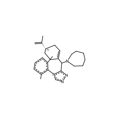 C=C(C)[C@@H]1CC=C(C(c2nncn2-c2c(C)cccc2C)N2CCCCCC2)CC1